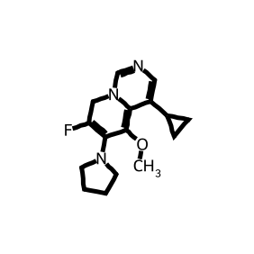 COC1=C2C(C3CC3)=CN=CN2CC(F)=C1N1CCCC1